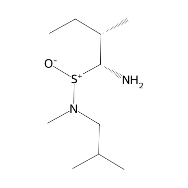 CC[C@H](C)[C@H](N)[S+]([O-])N(C)CC(C)C